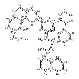 c1ccc(-c2ccccc2-c2cc(-c3ccc4ccc5ccc6ccccc6c5c4c3)cc(-c3ccc(-c4cccc5cccnc45)cc3)n2)cc1